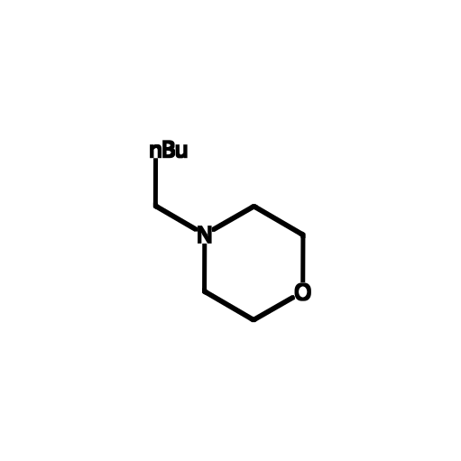 [CH2]CCCCN1CCOCC1